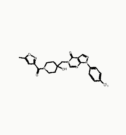 Cc1cc(C(=O)N2CCC(O)(Cn3cnc4c(cnn4-c4ccc(C(F)(F)F)cc4)c3=O)CC2)no1